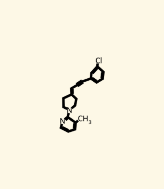 Cc1cccnc1N1CCC(=CC#Cc2cccc(Cl)c2)CC1